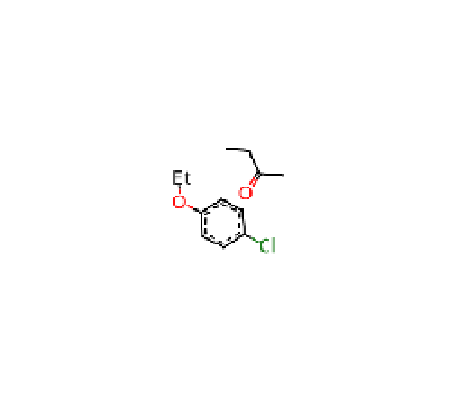 CCC(C)=O.CCOc1ccc(Cl)cc1